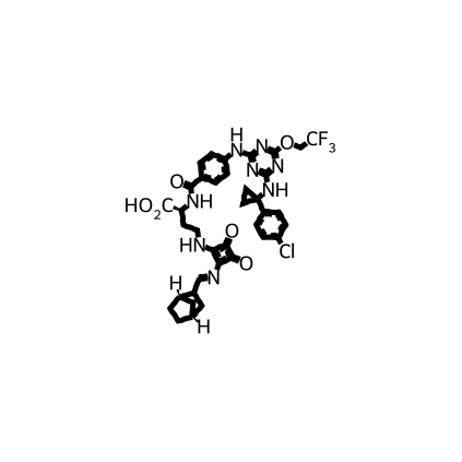 O=C(N[C@@H](CCNc1c(N=CC2C[C@H]3CC[C@@H]2C3)c(=O)c1=O)C(=O)O)c1ccc(Nc2nc(NC3(c4ccc(Cl)cc4)CC3)nc(OCC(F)(F)F)n2)cc1